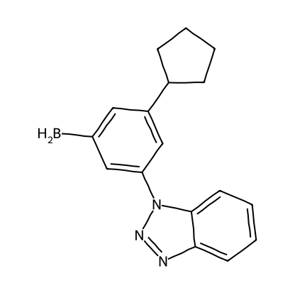 Bc1cc(C2CCCC2)cc(-n2nnc3ccccc32)c1